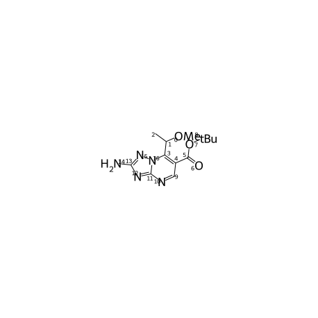 COC(C)c1c(C(=O)OC(C)(C)C)cnc2nc(N)nn12